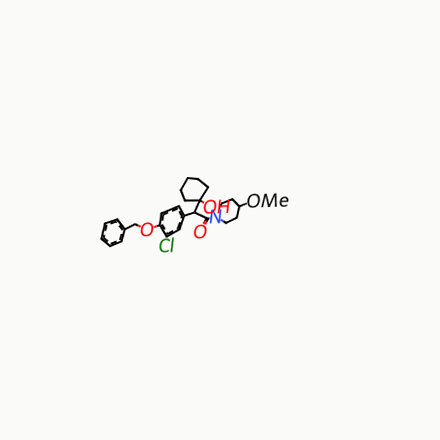 COC1CCN(C(=O)C(c2ccc(OCc3ccccc3)c(Cl)c2)C2(O)CCCCC2)CC1